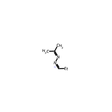 CC/C=N\N=C(C)C